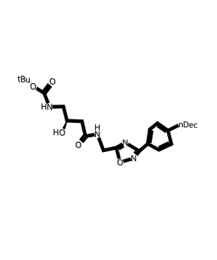 CCCCCCCCCCc1ccc(-c2noc(CNC(=O)C[C@@H](O)CNC(=O)OC(C)(C)C)n2)cc1